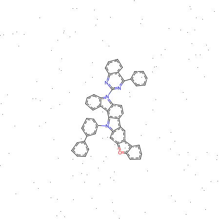 c1ccc(-c2cccc(-n3c4cc5oc6ccccc6c5cc4c4ccc5c(c6ccccc6n5-c5nc(-c6ccccc6)c6ccccc6n5)c43)c2)cc1